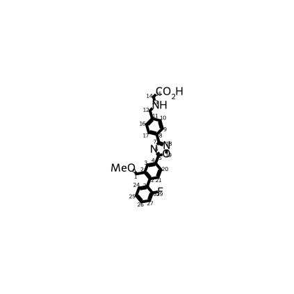 COCc1cc(-c2nc(-c3ccc(CNCC(=O)O)cc3)no2)ccc1-c1ccccc1F